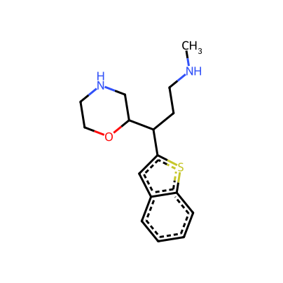 CNCCC(c1cc2ccccc2s1)C1CNCCO1